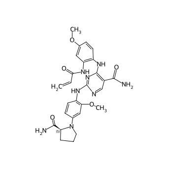 C=CC(=O)Nc1cc(OC)ccc1Nc1nc(Nc2ccc(N3CCC[C@H]3C(N)=O)cc2OC)ncc1C(N)=O